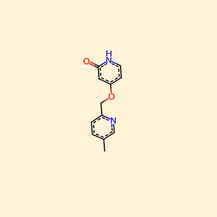 Cc1ccc(COc2cc[nH]c(=O)c2)nc1